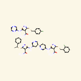 CC(Sc1nsc(Nc2cccnc2)c1C(N)=O)c1ccccc1.NC(=O)c1c(SCc2ccc(Cl)cc2)nsc1Nc1cnccn1.NC(=O)c1c(SCc2ccccc2Cl)nsc1Nc1cccnc1